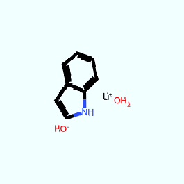 O.[Li+].[OH-].c1ccc2[nH]ccc2c1